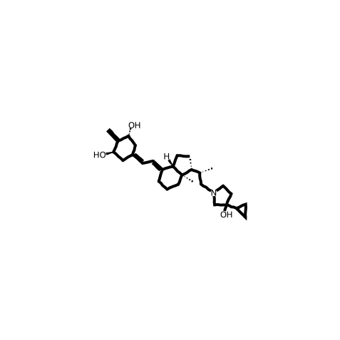 C=C1[C@H](O)CC(=CC=C2CCC[C@]3(C)[C@@H]([C@H](C)CN4CCC(O)(C5CC5)C4)CC[C@@H]23)C[C@H]1O